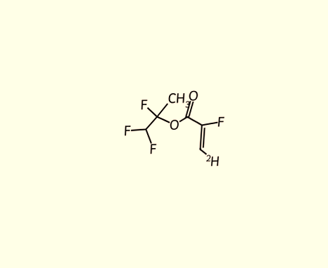 [2H]/C=C(\F)C(=O)OC(C)(F)C(F)F